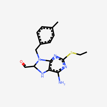 CCSc1nc(N)c2c(n1)N(Cc1ccc(C)cc1)C(C=O)N2